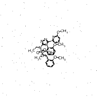 CCN(c1nnc(-c2cccc(OC)n2)n1-c1c(OC)cccc1OC)S(=O)(=O)[C@@H](C)[C@H](O)c1ccccc1OC